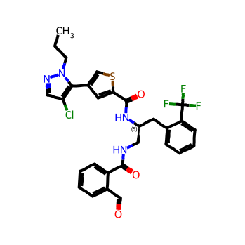 CCCn1ncc(Cl)c1-c1csc(C(=O)N[C@H](CNC(=O)c2ccccc2C=O)Cc2ccccc2C(F)(F)F)c1